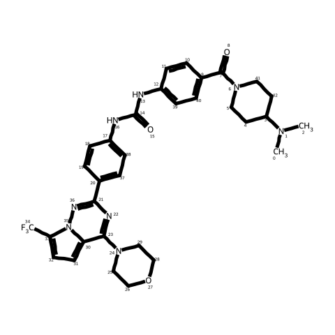 CN(C)C1CCN(C(=O)c2ccc(NC(=O)Nc3ccc(-c4nc(N5CCOCC5)c5ccc(C(F)(F)F)n5n4)cc3)cc2)CC1